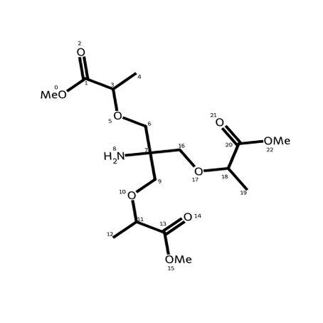 COC(=O)C(C)OCC(N)(COC(C)C(=O)OC)COC(C)C(=O)OC